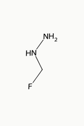 NNCF